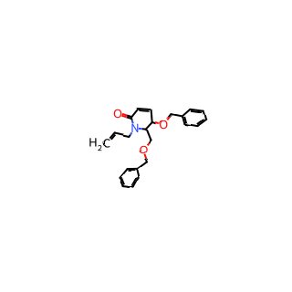 C=CCN1C(=O)C=CC(OCc2ccccc2)C1COCc1ccccc1